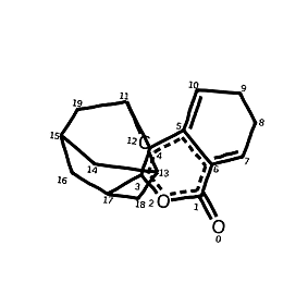 O=c1oc2c(c3c1=CCCC=3)C1CC3CC(CC2C3)C1